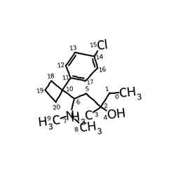 CCC(C)(O)CC(N(C)C)C1(c2ccc(Cl)cc2)CCC1